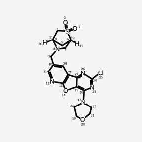 O=S1(=O)C[C@@H]2C[C@H]1CN2Cc1cnc2oc3c(N4CCOCC4)nc(Cl)nc3c2c1